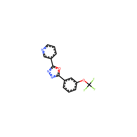 FC(F)(F)Oc1cccc(-c2nnc(-c3cccnc3)o2)c1